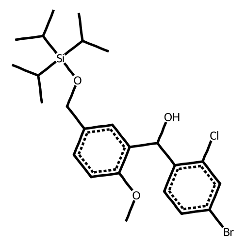 COc1ccc(CO[Si](C(C)C)(C(C)C)C(C)C)cc1C(O)c1ccc(Br)cc1Cl